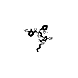 CCCCNC(=O)[C@@H]1C[C@@H](O)CN1C(=O)[C@@H](O)[C@H](Cc1ccccc1)NC(=O)c1cccc(O)c1C